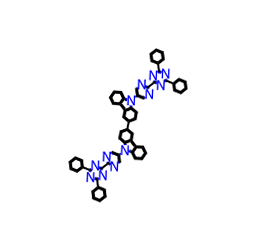 c1ccc(-c2nc(-c3ccccc3)nc(-c3ncc(-n4c5ccccc5c5cc(-c6ccc7c(c6)c6ccccc6n7-c6cnc(-c7nc(-c8ccccc8)nc(-c8ccccc8)n7)nc6)ccc54)cn3)n2)cc1